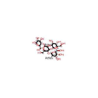 CC(=O)N[C@H]1[C@H](O[C@@H]2[C@H](O[C@@H]3O[C@H](CO)[C@@H](O)[C@H](O)[C@H]3NC(C)=O)[C@@H](O)[C@H](O[C@H]3[C@H](O)[C@@H](O)[C@H](O)O[C@@H]3CO)O[C@@H]2CO)O[C@H](CO)[C@H](O)[C@@H]1O